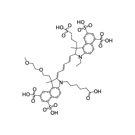 CCN1c2ccc3c(S(=O)(=O)O)cc(S(=O)(=O)O)cc3c2C(C)(CCCS(=O)(=O)O)C1C=CC=CC=C1N(CCCCCC(=O)O)c2ccc3c(S(=O)(=O)O)cc(S(=O)(=O)O)cc3c2C1(C)CCOCCOC